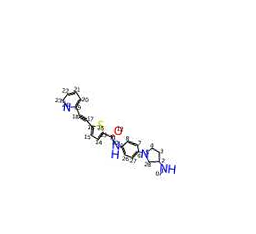 CNC1CCN(c2ccc(NC(=O)c3ccc(C#Cc4ccccn4)s3)cc2)C1